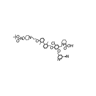 Cc1c(COc2cc(OCc3cncc(C#N)c3)c(CN3CCCC[C@H]3C(=O)O)cc2Cl)cccc1-c1cccc(OCCCN2CCC3(CC2)CN(C(=O)OC(C)(C)C)C3)c1C